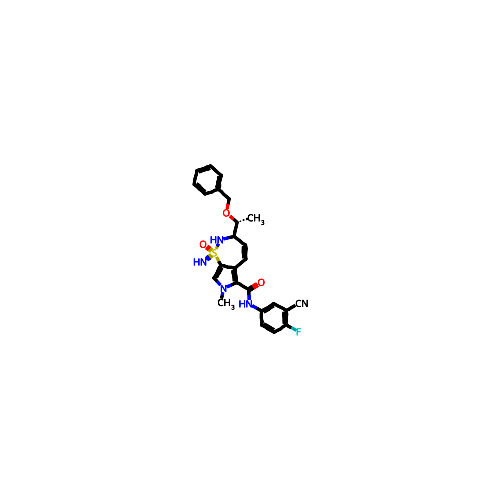 C[C@@H](OCc1ccccc1)C1C=Cc2c(cn(C)c2C(=O)Nc2ccc(F)c(C#N)c2)S(=N)(=O)N1